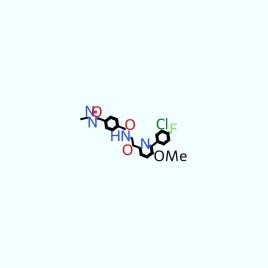 COc1ccc(C(=O)CNC(=O)c2ccc(-c3nc(C)no3)cc2)nc1-c1ccc(F)c(Cl)c1